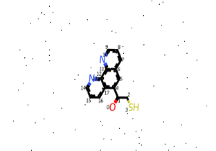 O=C(CS)c1cc2cccnc2c2ncccc12